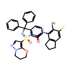 CC(C)c1c(F)cc2c(c1NC(=O)NS(=O)(=NC(c1ccccc1)(c1ccccc1)c1ccccc1)c1cnn3c1OCCC3)CCC2